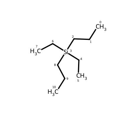 CCC[Si](CC)(CC)CCC